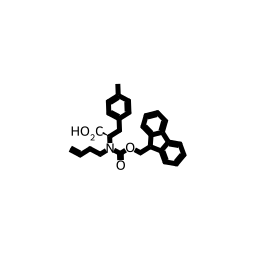 C=CCCN(C(=O)OCC1c2ccccc2-c2ccccc21)[C@@H](Cc1ccc(C)cc1)C(=O)O